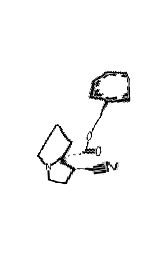 N#C[C@H]1CCN2CCC[C@@]12C(=O)OCc1ccccc1